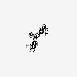 CCc1cc2ncc(CN3CCN(c4ccc(C(=O)NC)nc4)C[C@@H]3C3CCO3)cc2[nH]c1=O